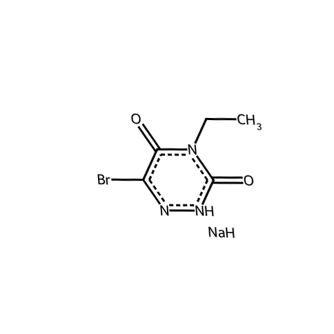 CCn1c(=O)[nH]nc(Br)c1=O.[NaH]